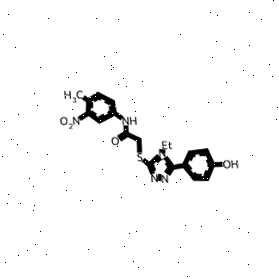 CCn1c(SCC(=O)Nc2ccc(C)c([N+](=O)[O-])c2)nnc1-c1ccc(O)cc1